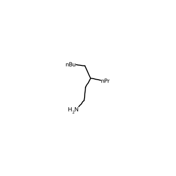 CCCCCC(CCC)CCN